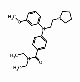 CCN(CC)C(=O)c1ccc(N(CCN2CCCC2)c2cccc(OC)c2)cc1